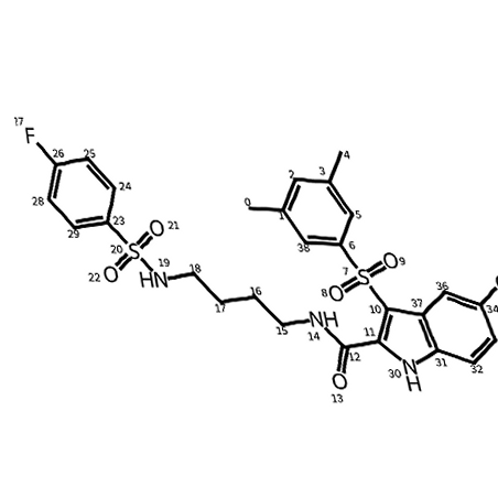 Cc1cc(C)cc(S(=O)(=O)c2c(C(=O)NCCCCNS(=O)(=O)c3ccc(F)cc3)[nH]c3ccc(Cl)cc23)c1